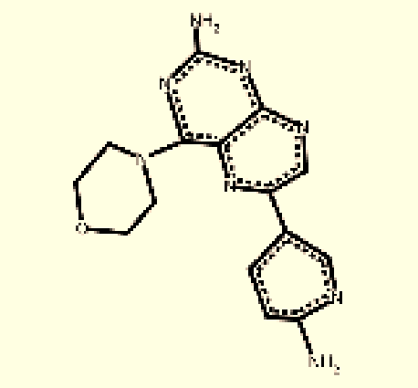 Nc1ccc(-c2cnc3nc(N)nc(N4CCOCC4)c3n2)cn1